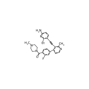 CCc1nc(N)ccc1C#Cc1c(-c2ccc(C(=O)N3CCN(C)CC3)c(F)c2)ccnc1C